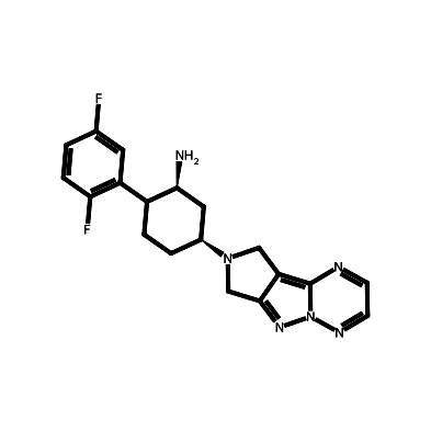 N[C@H]1C[C@@H](N2Cc3nn4nccnc4c3C2)CCC1c1cc(F)ccc1F